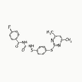 Cc1cc(C)nc(Sc2ccc(SNC(=O)NC(=O)c3ccc(F)cc3)cc2)n1